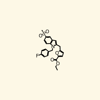 CCOC(=O)c1ccc(Cc2cc3cc(S(C)(=O)=O)ccc3n2Cc2ccc(F)cc2)o1